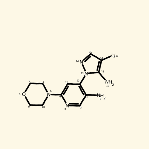 Nc1cnc(N2CCOCC2)cc1-n1ncc(Cl)c1N